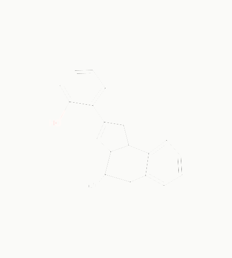 CCCCC1Cc2ccccc2C2CC(c3ccccc3O)=CC12